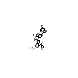 CN1CCN(C(=O)[C@@H]2CCOC2)c2ccc(Nc3ccc(-c4cnc5cc(F)ccn45)c4c3C(=O)NC4)nc2C1